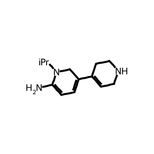 CC(C)N1CC(C2=CCNCC2)=CC=C1N